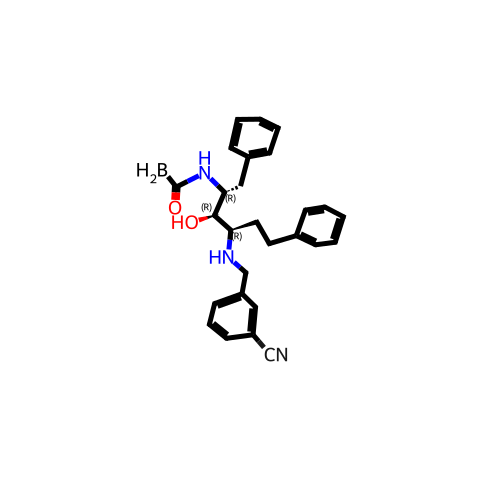 BC(=O)N[C@H](Cc1ccccc1)[C@H](O)[C@@H](CCc1ccccc1)NCc1cccc(C#N)c1